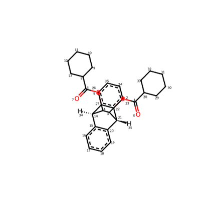 O=C(OC1C(OC(=O)C2CCCCC2)[C@H]2c3ccccc3[C@H]1c1ccccc12)C1CCCCC1